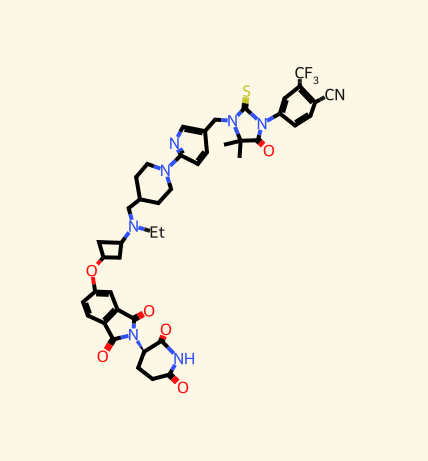 CCN(CC1CCN(c2ccc(CN3C(=S)N(c4ccc(C#N)c(C(F)(F)F)c4)C(=O)C3(C)C)cn2)CC1)C1CC(Oc2ccc3c(c2)C(=O)N([C@@H]2CCC(=O)NC2=O)C3=O)C1